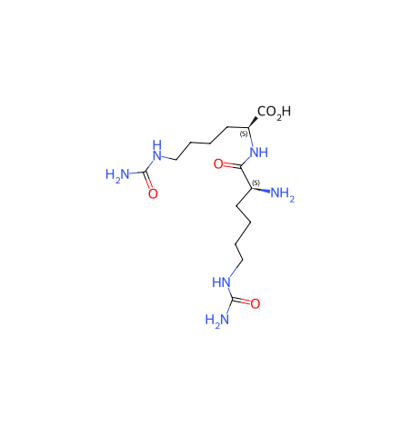 NC(=O)NCCCC[C@H](NC(=O)[C@@H](N)CCCCNC(N)=O)C(=O)O